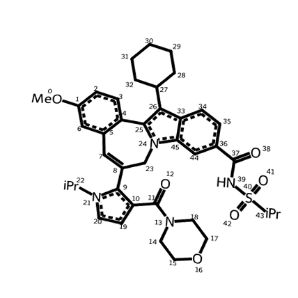 COc1ccc2c(c1)C=C(c1c(C(=O)N3CCOCC3)ccn1C(C)C)Cn1c-2c(C2CCCCC2)c2ccc(C(=O)NS(=O)(=O)C(C)C)cc21